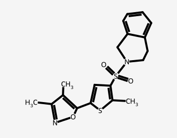 Cc1noc(-c2cc(S(=O)(=O)N3CCc4ccccc4C3)c(C)s2)c1C